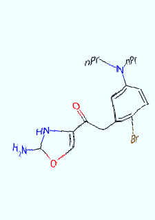 CCCN(CCC)c1ccc(Br)c(CC(=O)C2=COC(N)N2)c1